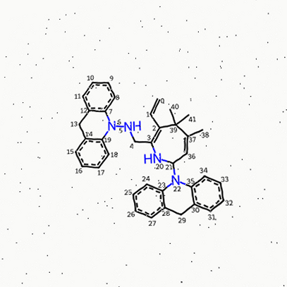 C=CC1=C(CNN2c3ccccc3Cc3ccccc32)NC(N2c3ccccc3Cc3ccccc32)C=C(C)C1(C)C